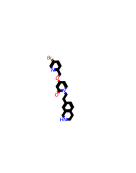 O=c1cc(OCc2ccc(Br)cn2)ccn1CCc1ccc2c(c1)CNCC2